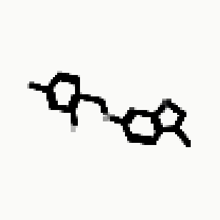 Cc1ccc(COc2ccc3c(c2)OCC3C)c(Cl)c1